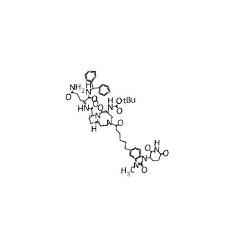 Cn1c(=O)n(C2CCC(=O)NC2=O)c2ccc(CCCCCC(=O)N3CC[C@H]4CC[C@@H](C(=O)N[C@@H](CCC(N)=O)C(=O)NC(c5ccccc5)c5ccccc5)N4C(=O)[C@@H](NC(=O)OC(C)(C)C)C3)cc21